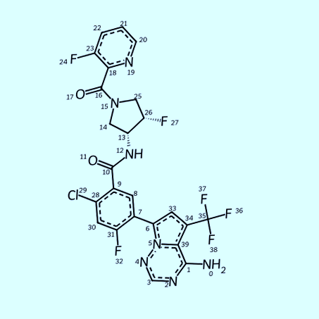 Nc1ncnn2c(-c3cc(C(=O)N[C@@H]4CN(C(=O)c5ncccc5F)C[C@@H]4F)c(Cl)cc3F)cc(C(F)(F)F)c12